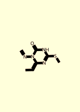 C=NN1C(=O)NC(SC)=N/C1=C/C